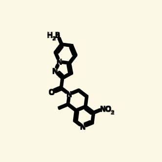 Bc1ccc2cc(C(=O)N3CCc4c(cncc4[N+](=O)[O-])C3C)nn2c1